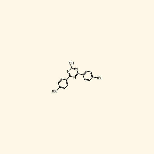 CC(C)(C)c1ccc(-c2nc(O)nc(-c3ccc(C(C)(C)C)cc3)n2)cc1